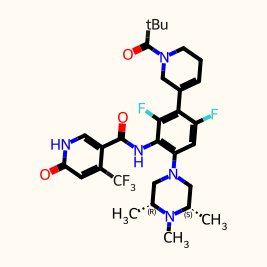 C[C@@H]1CN(c2cc(F)c(C3=CCCN(C(=O)C(C)(C)C)C3)c(F)c2NC(=O)c2c[nH]c(=O)cc2C(F)(F)F)C[C@H](C)N1C